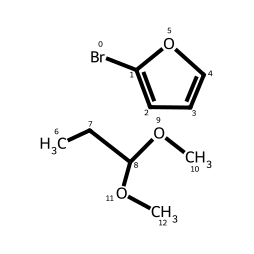 Brc1ccco1.CCC(OC)OC